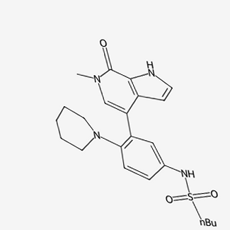 CCCCS(=O)(=O)Nc1ccc(N2CCCCC2)c(-c2cn(C)c(=O)c3[nH]ccc23)c1